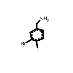 [SiH3]Cc1ccc(I)c(Br)c1